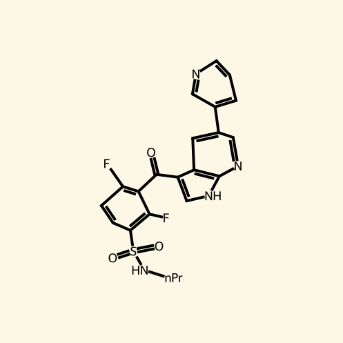 CCCNS(=O)(=O)c1ccc(F)c(C(=O)c2c[nH]c3ncc(-c4cccnc4)cc23)c1F